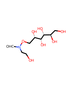 O=CN(CCO)OC[C@H](O)[C@@H](O)[C@H](O)[C@H](O)CO